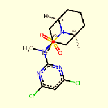 CCS(=O)(=O)N1[C@@H]2CCC[C@H]1C[C@@H](N(C)c1nc(Cl)cc(Cl)n1)C2